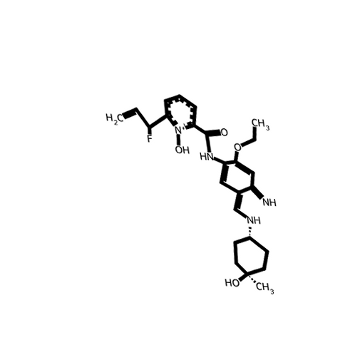 C=CC(F)c1cccc(C(=O)NC2=C/C(=C/N[C@H]3CC[C@](C)(O)CC3)C(=N)C=C2OCC)[n+]1O